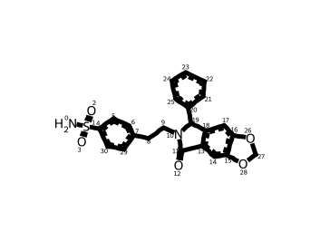 NS(=O)(=O)c1ccc(CCN2C(=O)c3cc4c(cc3C2c2ccccc2)OCO4)cc1